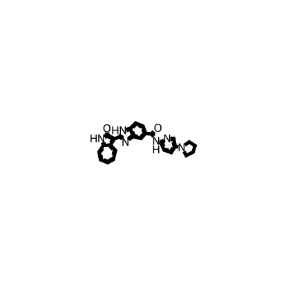 O=C(Nc1ccc(N2CCCC2)cn1)c1ccc2[nH]c(-c3c4cccccc-4[nH]c3=O)nc2c1